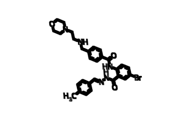 Cc1ccc(/C=N/NC(=O)c2cc(Br)ccc2NC(=O)c2ccc(CNCCN3CCOCC3)cc2)cc1